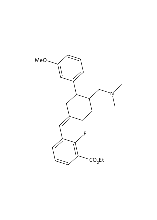 CCOC(=O)c1cccc(C=C2CCC(CN(C)C)C(c3cccc(OC)c3)C2)c1F